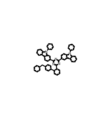 c1ccc(Cc2ccc(-c3ccccc3-c3nc(-c4ccc5c(c4)c4ccccc4n5-c4ccccc4)nc(-c4ccc5c6ccccc6n(-c6ccccc6)c5c4)n3)cc2)cc1